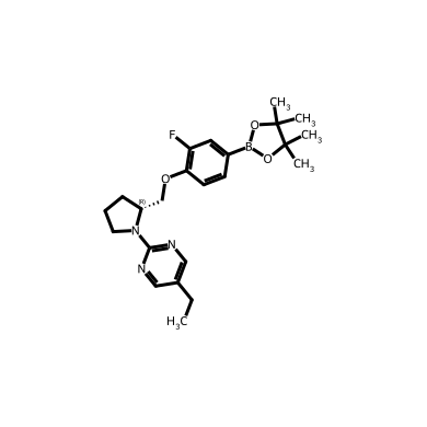 CCc1cnc(N2CCC[C@@H]2COc2ccc(B3OC(C)(C)C(C)(C)O3)cc2F)nc1